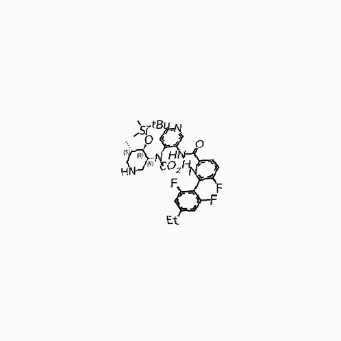 CCc1cc(F)c(-c2nc(C(=O)Nc3cnccc3N(C(=O)O)[C@@H]3CNC[C@H](C)[C@H]3O[Si](C)(C)C(C)(C)C)ccc2F)c(F)c1